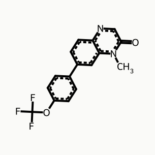 Cn1c(=O)cnc2ccc(-c3ccc(OC(F)(F)F)cc3)cc21